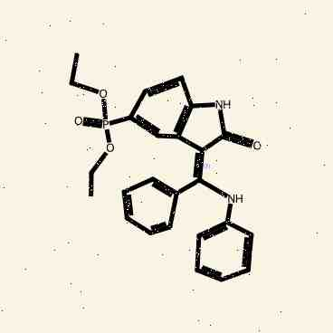 CCOP(=O)(OCC)c1ccc2c(c1)/C(=C(/Nc1ccccc1)c1ccccc1)C(=O)N2